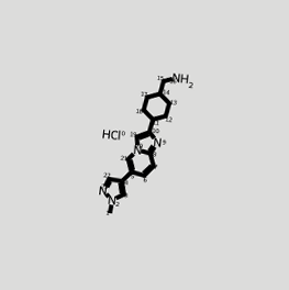 Cl.Cn1cc(-c2ccc3nc(C4CCC(CN)CC4)cn3c2)cn1